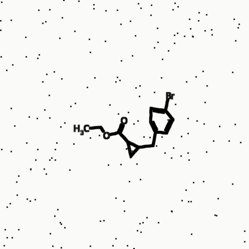 CCOC(=O)C1CC1Cc1ccc(Br)cc1